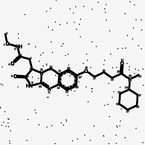 CONC(=O)CC1C(=O)NC2=Nc3ccc(OCCCC(=O)N(C)C4CCCCC4)cc3CN21